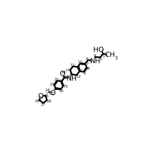 CC(O)CCNCc1ccc2c(c1)CC[C@H](NC(=O)c1ccc(OC[C@@H]3CCCO3)cc1)C2